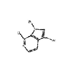 CC(=O)c1cn(C(C)C)c2c(Cl)nccc12